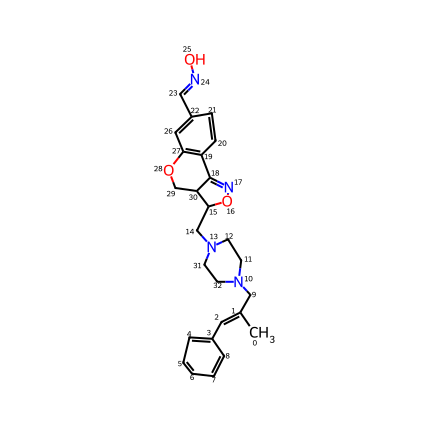 CC(=Cc1ccccc1)CN1CCN(CC2ON=C3c4ccc(C=NO)cc4OCC32)CC1